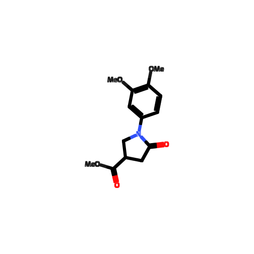 COC(=O)C1CC(=O)N(c2ccc(OC)c(OC)c2)C1